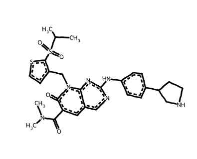 CC(C)S(=O)(=O)c1sccc1Cn1c(=O)c(C(=O)N(C)C)cc2cnc(Nc3ccc(C4CCNC4)cc3)nc21